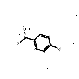 O=C[C@@H](Br)c1ccc(O)cc1